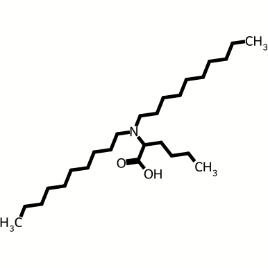 CCCCCCCCCCN(CCCCCCCCCC)C(CCCC)C(=O)O